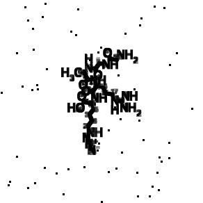 C[C@H](NC(=O)CNC(=O)CN)C(=O)N[C@@H](CCCNC(=N)N)C(=O)N[C@@H](CCCCNN=[N+]=[N-])C(=O)O